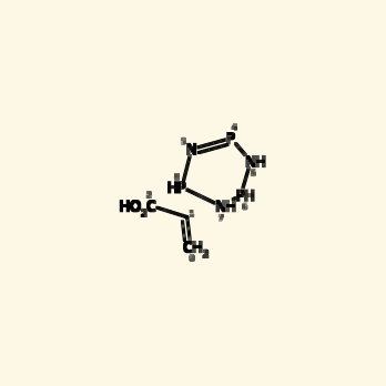 C=CC(=O)O.n1p[nH][pH][nH][pH]1